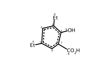 CCc1cc(CC)c(O)c(C(=O)O)c1